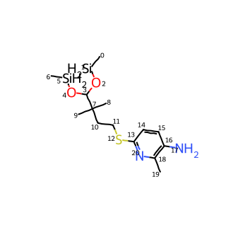 C[SiH2]OC(O[SiH2]C)C(C)(C)CCSc1ccc(N)c(C)n1